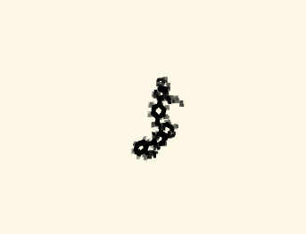 CC(C)c1ccccc1-c1ncc2c(n1)N(CC1CCC(c3nc(C(F)(F)F)cn3C)CC1)CCO2